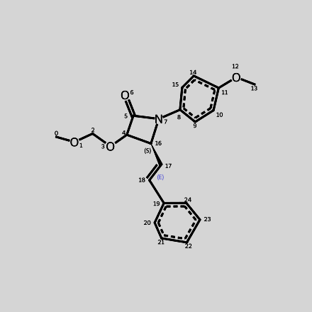 COCOC1C(=O)N(c2ccc(OC)cc2)[C@H]1/C=C/c1ccccc1